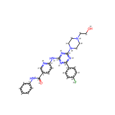 O=C(Nc1ccccc1)c1ccc(Nc2nc(-c3ccc(F)cc3)nc(N3CCN(CCO)CC3)n2)nc1